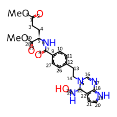 COC(=O)CC[C@@H](NC(=O)c1ccc(CCN2C=Nc3[nH]ccc3C2NO)cc1)C(=O)OC